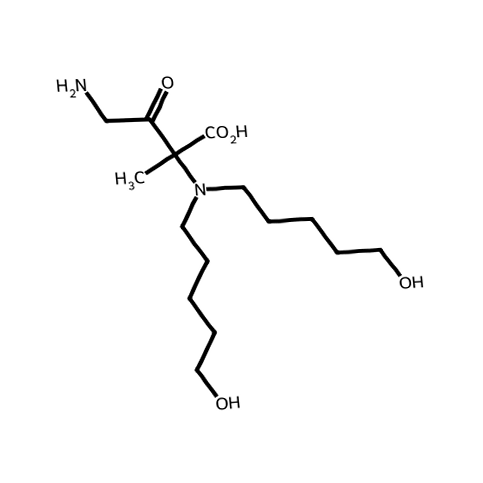 CC(C(=O)O)(C(=O)CN)N(CCCCCO)CCCCCO